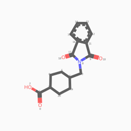 O=C(O)C1CCC(CN2C(=O)c3ccccc3C2=O)CC1